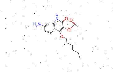 CCCCCCOc1c(OC(C)=O)c(=O)[nH]c2cc(N)ccc12